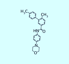 Cc1ccc(-c2cc(C(=O)Nc3ccc(N4CCOCC4)cc3)ccc2C)cc1